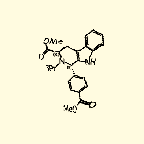 COC(=O)c1ccc([C@H]2c3[nH]c4ccccc4c3C[C@H](C(=O)OC)N2C(C)C)cc1